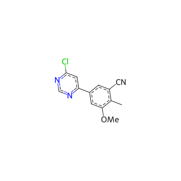 COc1cc(-c2cc(Cl)ncn2)cc(C#N)c1C